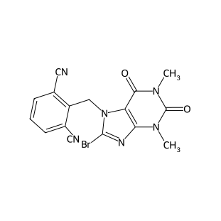 Cn1c(=O)c2c(nc(Br)n2Cc2c(C#N)cccc2C#N)n(C)c1=O